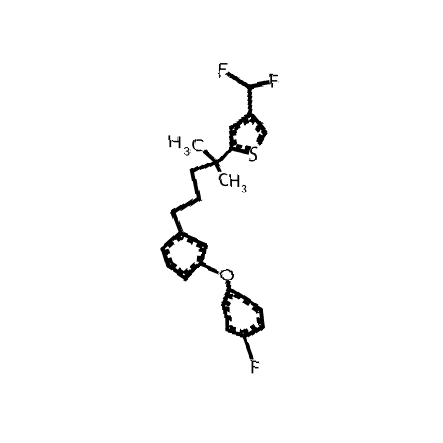 CC(C)(CCCc1cccc(Oc2ccc(F)cc2)c1)c1cc(C(F)F)cs1